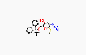 CS[C@@H]1OC(CO[Si](c2ccccc2)(c2ccccc2)C(C)(C)C)[C@@H](O)[C@H](C)C1N=[N+]=[N-]